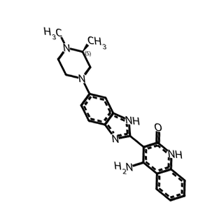 C[C@H]1CN(c2ccc3nc(-c4c(N)c5ccccc5[nH]c4=O)[nH]c3c2)CCN1C